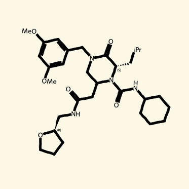 COc1cc(CN2CC(CC(=O)NC[C@H]3CCCO3)N(C(=O)NC3CCCCC3)[C@@H](CC(C)C)C2=O)cc(OC)c1